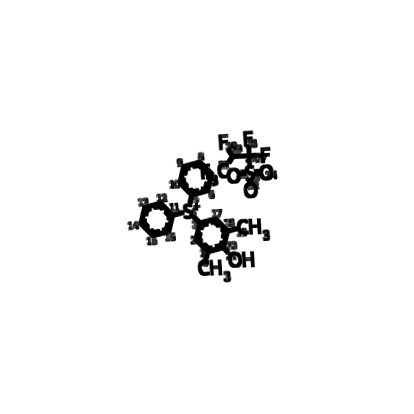 Cc1cc([S+](c2ccccc2)c2ccccc2)cc(C)c1O.O=S(=O)([O-])C(F)(F)C(F)C(F)(F)F